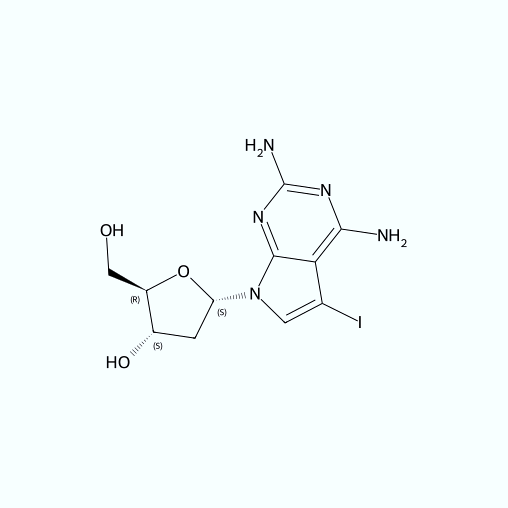 Nc1nc(N)c2c(I)cn([C@@H]3C[C@H](O)[C@@H](CO)O3)c2n1